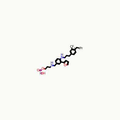 CC(C)Cc1ccc(CCCNc2ccc(CNCCCO[PH](=O)O)cc2-c2ccco2)cc1C(F)(F)F